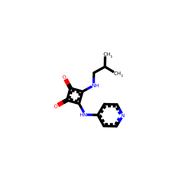 CC(C)CNc1c(Nc2ccncc2)c(=O)c1=O